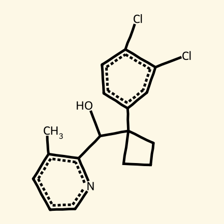 Cc1cccnc1C(O)C1(c2ccc(Cl)c(Cl)c2)CCC1